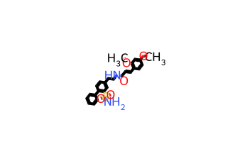 COc1ccc(C=CC(=O)NCCc2ccc(-c3ccccc3)c(S(N)(=O)=O)c2)c(OC)c1